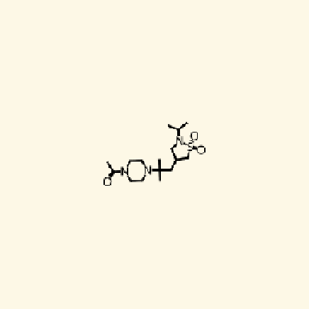 CC(=O)N1CCN(C(C)(C)CC2CN(C(C)C)S(=O)(=O)C2)CC1